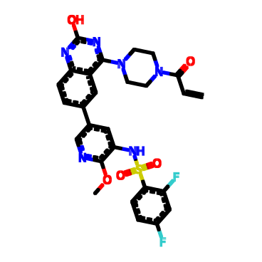 C=CC(=O)N1CCN(c2nc(O)nc3ccc(-c4cnc(OC)c(NS(=O)(=O)c5ccc(F)cc5F)c4)cc23)CC1